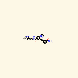 C/C=C(\C=N/C)CCCNC(=O)c1ccc(-n2cccn2)c(C#Cc2cccc(C(N)=O)c2)c1